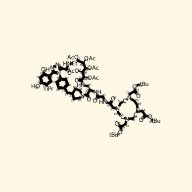 CCNC(=O)c1nnc(-c2cc(C(C)C)c(O)cc2O)n1-c1ccc(CC2CCN(C(=O)[C@H](CNC(=O)[C@H](OC(C)=O)[C@@H](OC(C)=O)[C@H](OC(C)=O)[C@@H](COC(C)=O)OC(C)=O)NC(=O)CNC(=O)CN3CCN(CC(=O)OC(C)(C)C)CCN(CC(=O)OC(C)(C)C)CCN(CC(=O)OC(C)(C)C)CC3)CC2)cc1